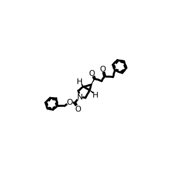 O=C(CC(=O)[C@H]1[C@@H]2CN(C(=O)OCc3ccccc3)C[C@@H]21)Cc1ccccc1